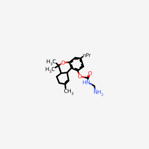 CCCc1cc(OC(=O)NCN)c2c(c1)OC(C)(C)C1CCC(C)=CC21